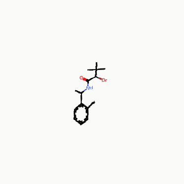 Cc1ccccc1C(C)NC(=O)C(Br)C(C)(C)C